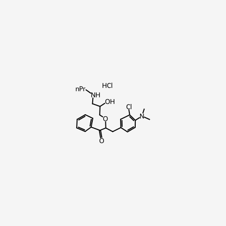 CCCNCC(O)COC(Cc1ccc(N(C)C)c(Cl)c1)C(=O)c1ccccc1.Cl